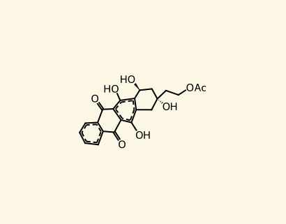 CC(=O)OCC[C@@]1(O)Cc2c(O)c3c(c(O)c2[C@@H](O)C1)C(=O)c1ccccc1C3=O